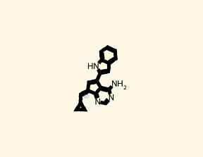 Nc1ncnc2c1C(c1cc3ccccc3[nH]1)=C/C2=C/C1CC1